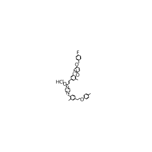 Cc1ccc(OCCc2ccc(CN3CCN(C(=O)/C=C/c4cc(C)c(Oc5ccc(OCc6ccc(F)cc6)cn5)c(C)c4)CC3)c(C)c2)cc1.Cl